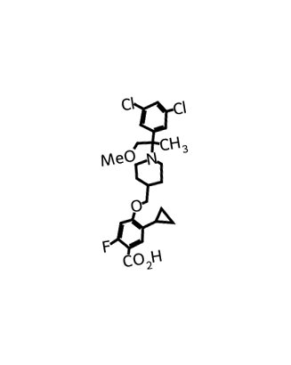 COCC(C)(c1cc(Cl)cc(Cl)c1)N1CCC(COc2cc(F)c(C(=O)O)cc2C2CC2)CC1